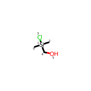 C[Si](C)(Cl)CO